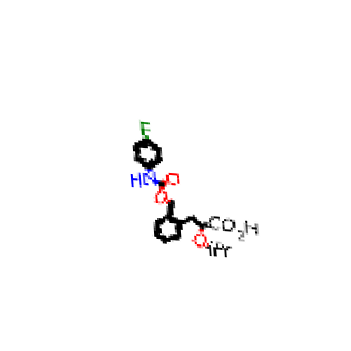 CC(C)OC(Cc1ccccc1COC(=O)Nc1ccc(F)cc1)C(=O)O